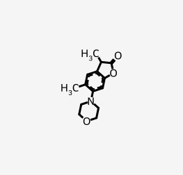 Cc1cc2c(cc1N1CCOCC1)OC(=O)C2C